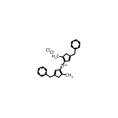 CC1=[C]([Zr+2][C]2=C(C)CC(Cc3ccccc3)=C2)C=C(Cc2ccccc2)C1.[Cl-].[Cl-]